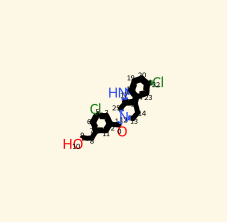 O=C(c1cc(Cl)cc(CCO)c1)N1CCc2c([nH]c3ccc(Cl)cc23)C1